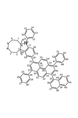 CC12CCCCCCC1(C)N(c1ccccc1)c1ccc(-c3cc(-c4ccccc4)c4ccc5c(-c6cccc7ccccc67)cc(-c6ccccc6)c6ccc3c4c65)cc12